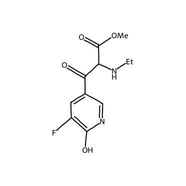 CCNC(C(=O)OC)C(=O)c1cnc(O)c(F)c1